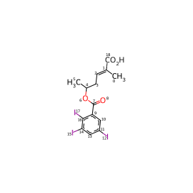 CC(=CCC(C)OC(=O)c1cc(I)cc(I)c1I)C(=O)O